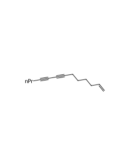 C=CCCCCC#CC#CCCC